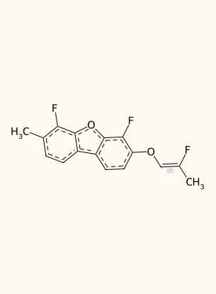 C/C(F)=C/Oc1ccc2c(oc3c(F)c(C)ccc32)c1F